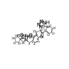 CCCCC(=O)N(Cc1ccc2nc(-c3ccccc3-c3nnn[nH]3)ccc2c1)CC1(C=O)CCCC1